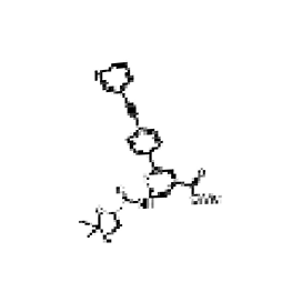 COC(=O)c1cc(NC(=O)[C@@H]2COC(C)(C)O2)nc(-c2ccc(C#Cc3cccnc3)cc2)c1